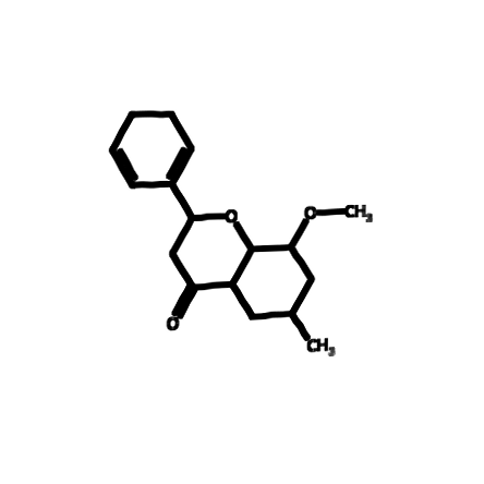 COC1CC(C)CC2C(=O)CC(C3=CCCC=C3)OC12